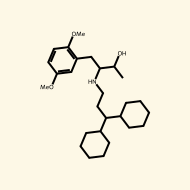 COc1ccc(OC)c(CC(NCCC(C2CCCCC2)C2CCCCC2)C(C)O)c1